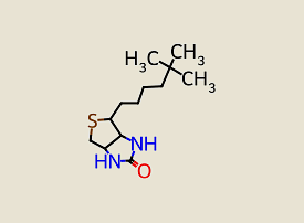 CC(C)(C)CCCCC1SCC2NC(=O)NC21